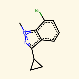 Cn1nc(C2CC2)c2cccc(Br)c21